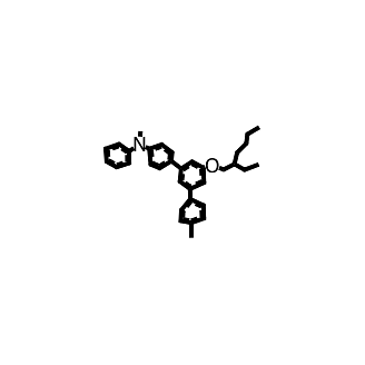 CCCCC(CC)COc1cc(-c2ccc(C)cc2)cc(-c2ccc(N(C)c3ccccc3)cc2)c1